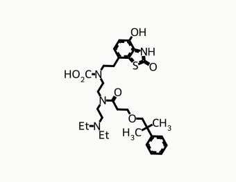 CCN(CC)CCN(CCN(CCc1ccc(O)c2[nH]c(=O)sc12)C(=O)O)C(=O)CCOCC(C)(C)c1ccccc1